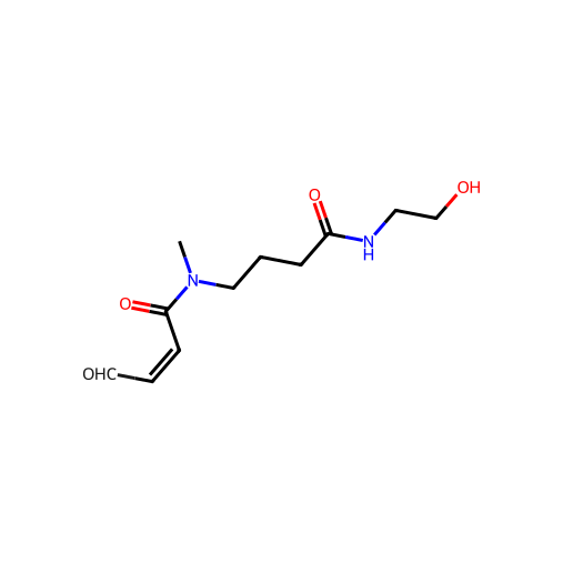 CN(CCCC(=O)NCCO)C(=O)/C=C\C=O